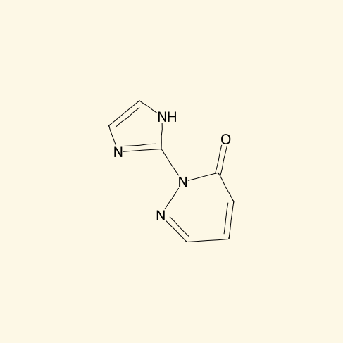 O=c1cccnn1-c1ncc[nH]1